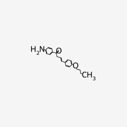 CCCCOc1ccc(C=CCC(=O)c2ccc(N)cc2)cc1